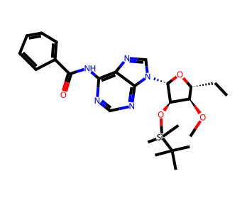 CC[C@H]1O[C@@H](n2cnc3c(NC(=O)c4ccccc4)ncnc32)[C@H](O[Si](C)(C)C(C)(C)C)[C@@H]1OC